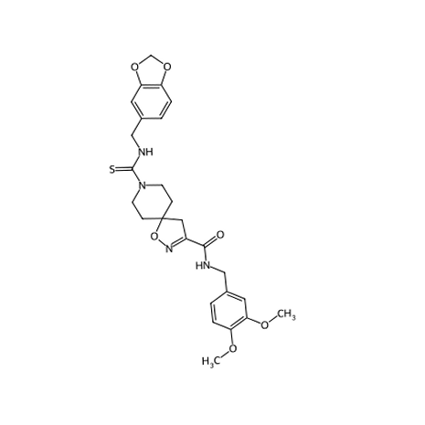 COc1ccc(CNC(=O)C2=NOC3(CCN(C(=S)NCc4ccc5c(c4)OCO5)CC3)C2)cc1OC